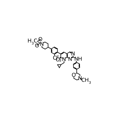 CN1CCOC(c2ccc(Nc3ncc4cc(-c5ccc(C6CCN(S(C)(=O)=O)CC6)cc5C(F)(F)F)c(=O)n(CC5CC5)c4n3)cc2)C1